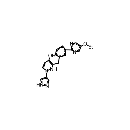 CCOc1cnc(-c2cccc(CC3=C(O)C=CN(c4cn[nH]c4)N3)c2)nc1